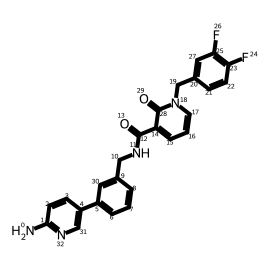 Nc1ccc(-c2cccc(CNC(=O)c3cccn(Cc4ccc(F)c(F)c4)c3=O)c2)cn1